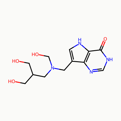 O=c1[nH]cnc2c(CN(CO)CC(CO)CO)c[nH]c12